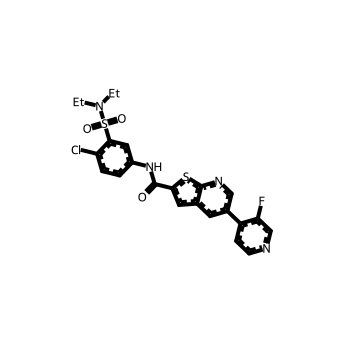 CCN(CC)S(=O)(=O)c1cc(NC(=O)c2cc3cc(-c4ccncc4F)cnc3s2)ccc1Cl